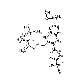 C=C(OC)c1ccc2nc(-c3ccc(C(F)(F)F)cc3)c(CCCC(C)C(=C)OC(C)(C)C)nc2c1